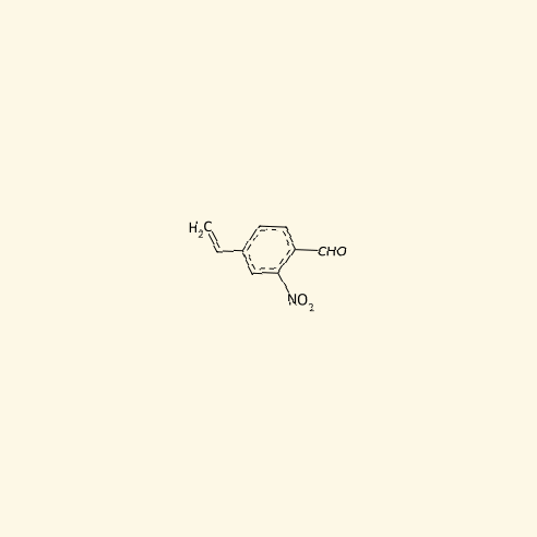 C=Cc1ccc(C=O)c([N+](=O)[O-])c1